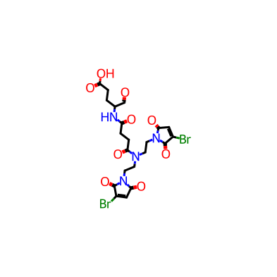 O=CC(CCC(=O)O)NC(=O)CCC(=O)N(CCN1C(=O)C=C(Br)C1=O)CCN1C(=O)C=C(Br)C1=O